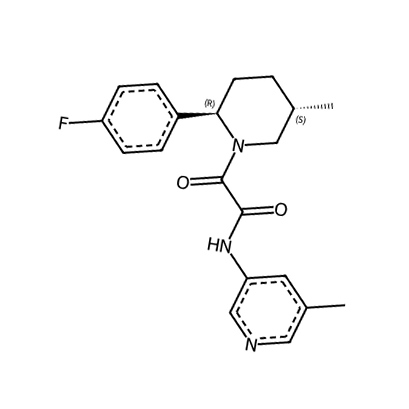 Cc1cncc(NC(=O)C(=O)N2C[C@@H](C)CC[C@@H]2c2ccc(F)cc2)c1